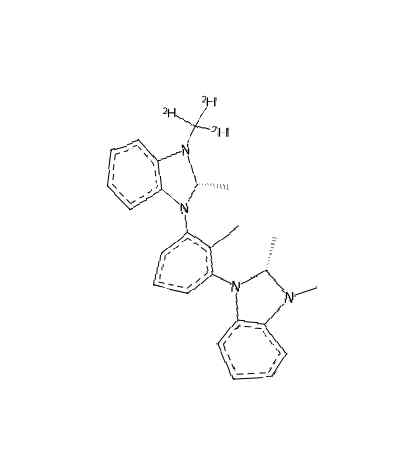 [2H]C([2H])([2H])N1c2ccccc2N(c2cccc(N3c4ccccc4N(C)[C@H]3C)c2C)[C@H]1C